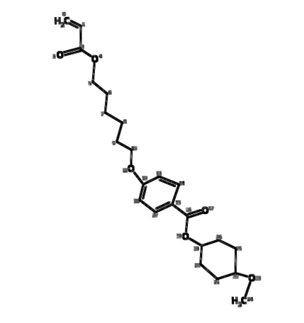 C=CC(=O)OCCCCCCOc1ccc(C(=O)OC2CCC(OC)CC2)cc1